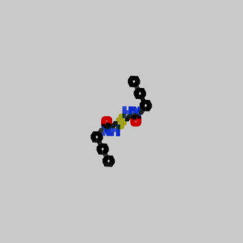 O=C(CCSSCCC(=O)NCc1cccc(-c2ccc(-c3ccccc3)cc2)c1)NCc1cccc(-c2ccc(-c3ccccc3)cc2)c1